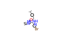 CC(C)c1ccc(CC(=O)NC(c2ccc(Br)cn2)c2cn(C[Si](C)(C)C)nn2)cc1